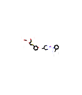 Cc1c(-c2cccc(OCC3CCN(C(=O)Nc4ccccc4C(C)C)CC3)c2)sc(C(=O)O)c1OCC(=O)O